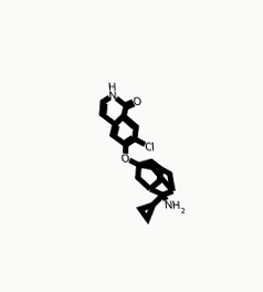 NC1(C2CC2)C2CC3CC1CC(Oc1cc4cc[nH]c(=O)c4cc1Cl)(C3)C2